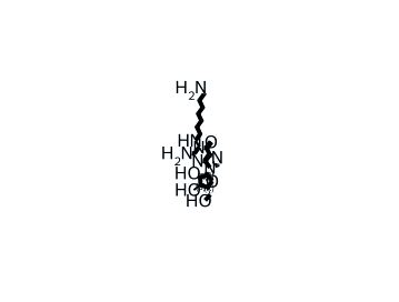 NCCCCCCCNn1c(N)nc2c(ncn2[C@@H]2O[C@H](CO)[C@@H](O)[C@H]2O)c1=O